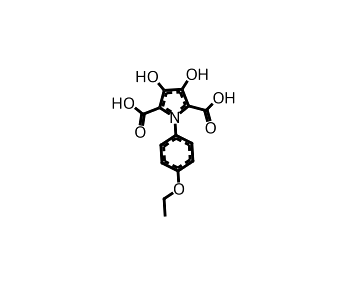 CCOc1ccc(-n2c(C(=O)O)c(O)c(O)c2C(=O)O)cc1